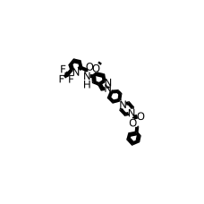 COc1cc2nn(C3CCC(N4CCN(C(=O)OCc5ccccc5)CC4)CC3)cc2cc1NC(=O)c1cccc(C(F)(F)F)n1